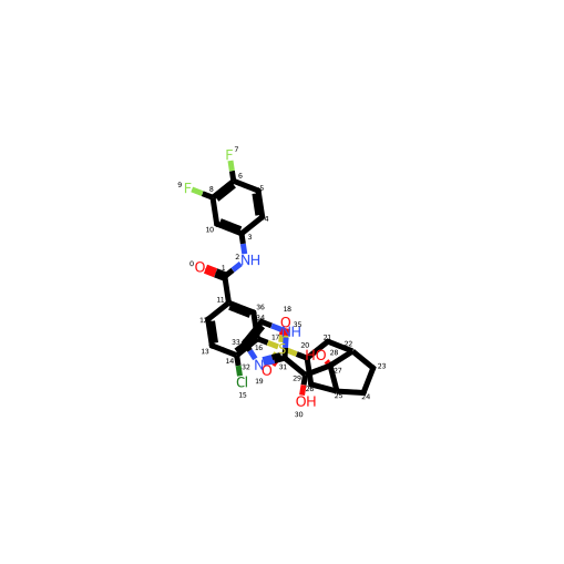 O=C(Nc1ccc(F)c(F)c1)c1ccc(Cl)c(S(=O)(=O)C2CC3CCC(C2)C3(O)C(O)c2ncc[nH]2)c1